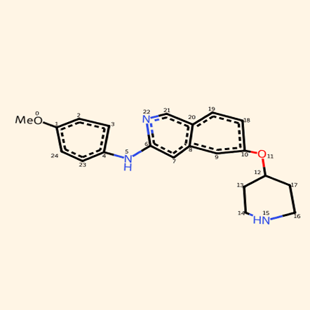 COc1ccc(Nc2cc3cc(OC4CCNCC4)ccc3cn2)cc1